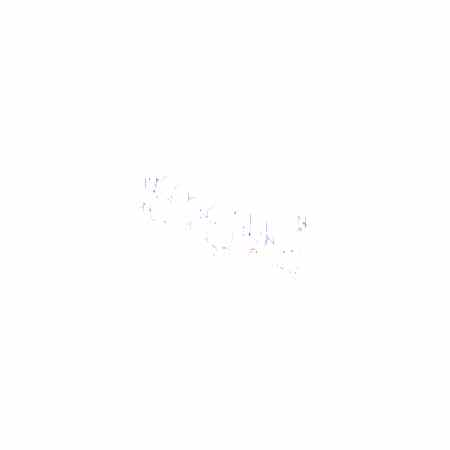 [2H]C([2H])(c1ccnc2[nH]ccc12)n1ccc2c(NC(=O)Nc3ccccc3C#N)cccc21